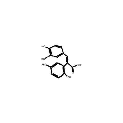 COC(=O)/C(=C/c1ccc(O)c(O)c1)c1cc(O)ccc1O